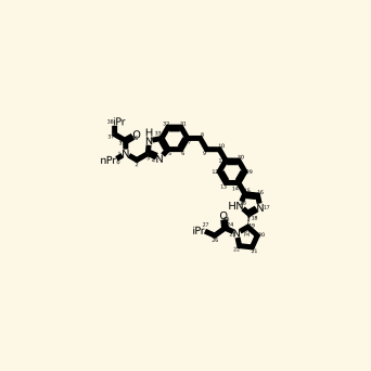 CCCN(Cc1nc2cc(CCCc3ccc(-c4cnc([C@@H]5CCCN5C(=O)CC(C)C)[nH]4)cc3)ccc2[nH]1)C(=O)CC(C)C